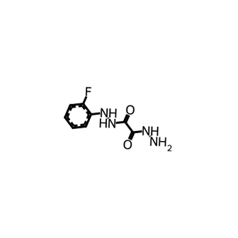 NNC(=O)C(=O)NNc1ccccc1F